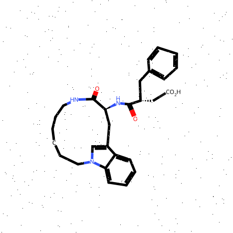 O=C(O)C[C@@H](Cc1ccccc1)C(=O)N[C@H]1Cc2cn(c3ccccc23)CCCCCCNC1=O